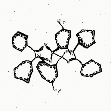 O=S(=O)(O)c1ccc(Cl)c(C2(C3(c4cc(S(=O)(=O)O)ccc4Cl)N=C(c4ccccc4)C(c4ccccc4)=N3)N=C(c3ccccc3)C(c3ccccc3)=N2)c1